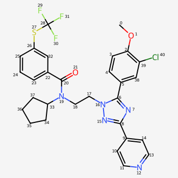 COc1ccc(-c2nc(-c3ccncc3)nn2CCN(C(=O)c2cccc(SC(F)(F)F)c2)C2CCCC2)cc1Cl